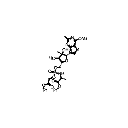 COc1nc(C)nc2c1ncn2[C@@H]1O[C@H](COP(=O)(N[C@@H](C)C(=O)OC(C)C)OCC(=O)OC(C)C)C(O)[C@]1(C)O